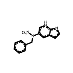 O=[N+]([O-])N(Cc1ccccc1)c1c[nH]c2nccc-2c1